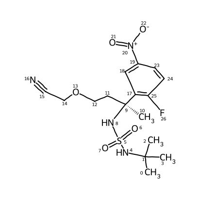 CC(C)(C)NS(=O)(=O)N[C@@](C)(CCOCC#N)c1cc([N+](=O)[O-])ccc1F